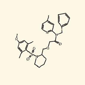 COc1cc(C)c(S(=O)(=O)N2CCCCC2COCC(=O)N(Cc2ccccc2)c2cc(C)ccn2)c(C)c1